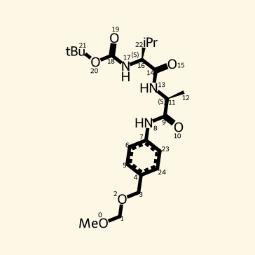 COCOCc1ccc(NC(=O)[C@H](C)NC(=O)[C@@H](NC(=O)OC(C)(C)C)C(C)C)cc1